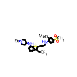 CCN1CCC(Nc2cccc3c(CC(F)(F)F)c(C#CCNc4ccc(S(C)(=O)=O)cc4OC)sc23)CC1